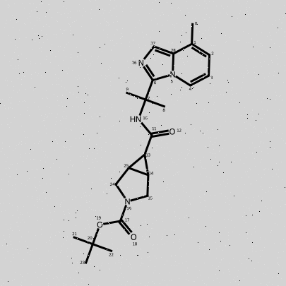 Cc1cccn2c(C(C)(C)NC(=O)C3C4CN(C(=O)OC(C)(C)C)CC43)ncc12